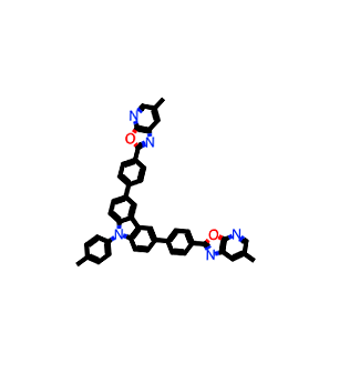 Cc1ccc(-n2c3ccc(-c4ccc(-c5nc6cc(C)cnc6o5)cc4)cc3c3cc(-c4ccc(-c5nc6cc(C)cnc6o5)cc4)ccc32)cc1